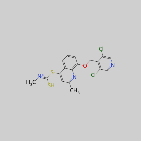 C/N=C(\S)Sc1cc(C)nc2c(OCc3c(Cl)cncc3Cl)cccc12